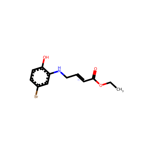 CCOC(=O)/C=C/CNc1cc(Br)ccc1O